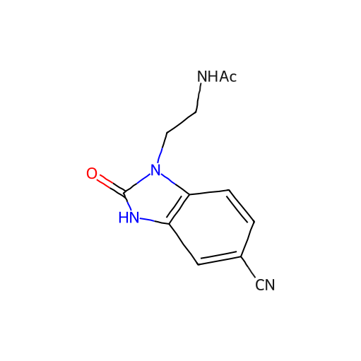 CC(=O)NCCn1c(=O)[nH]c2cc(C#N)ccc21